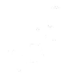 COCNS(=O)(=O)c1ccc(Cl)c(C(F)(F)F)c1